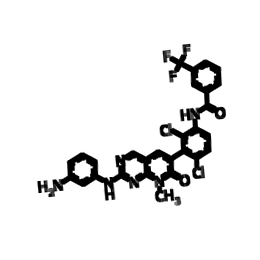 Cn1c(=O)c(-c2c(Cl)ccc(NC(=O)c3cccc(C(F)(F)F)c3)c2Cl)cc2cnc(Nc3cccc(N)c3)nc21